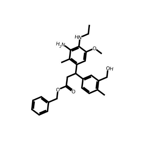 CCNc1c(OC)cc(C(CC(=O)OCc2ccccc2)c2ccc(C)c(CO)c2)c(C)c1N